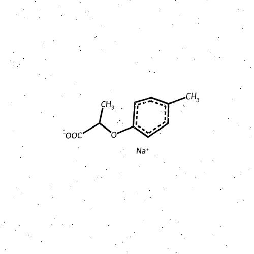 Cc1ccc(OC(C)C(=O)[O-])cc1.[Na+]